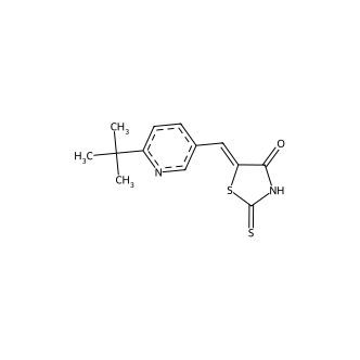 CC(C)(C)c1ccc(/C=C2\SC(=S)NC2=O)cn1